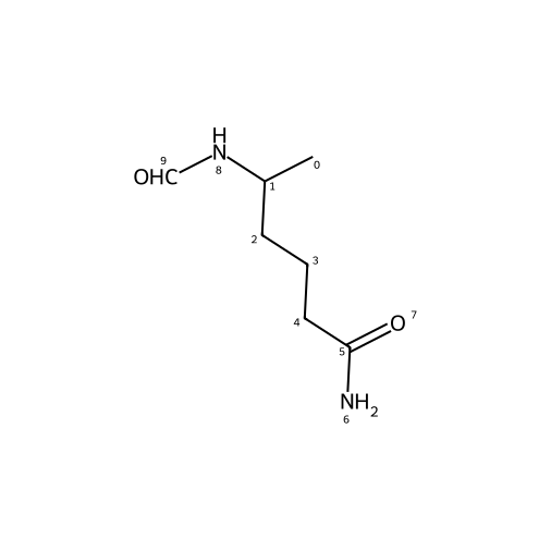 CC(CCCC(N)=O)NC=O